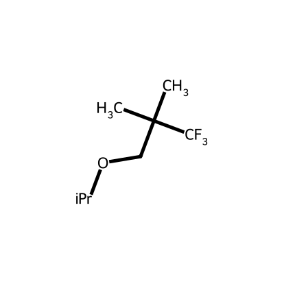 CC(C)OCC(C)(C)C(F)(F)F